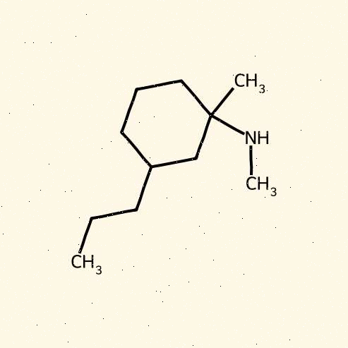 CCCC1CCCC(C)(NC)C1